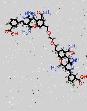 NC(=O)c1cc(CCOCCOCCc2ccc(-c3n[nH]c4nc(-c5ccc(F)c(C(=O)O)c5)cc(C(N)=O)c34)c(C(N)=O)c2)ccc1-c1n[nH]c2nc(-c3ccc(F)c(C(=O)O)c3)cc(C(N)=O)c12